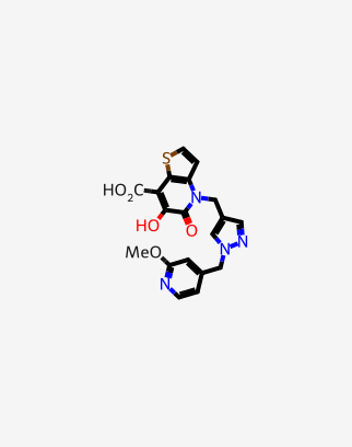 COc1cc(Cn2cc(Cn3c(=O)c(O)c(C(=O)O)c4sccc43)cn2)ccn1